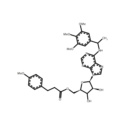 COc1ccc(CCC(=O)OC[C@H]2O[C@@H](n3cnc4c(NC(C)c5cc(OC)c(OC)c(OC)c5)ncnc43)[C@@H](O)C2O)cc1